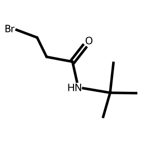 CC(C)(C)NC(=O)CCBr